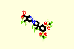 COC(=O)c1cnc(N2CCC(c3cc(S(=O)(=O)C(F)(F)F)cc(S(=O)(=O)C(F)(F)F)c3)(C(F)(F)F)C2)cc1C(F)(F)F